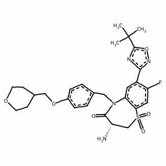 CC(C)(C)c1nc(-c2cc3c(cc2F)S(=O)(=O)C[C@H](N)C(=O)N3Cc2ccc(OCC3CCOCC3)cc2)no1